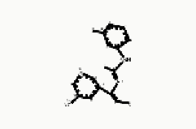 C/C=C(\N=C(/C)Nc1cccc(C)c1)c1cncc(C#N)c1